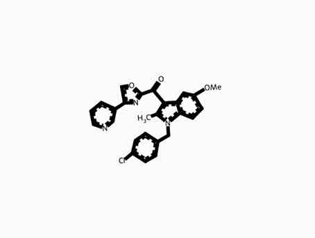 COc1ccc2c(c1)c(C(=O)c1nc(-c3cccnc3)co1)c(C)n2Cc1ccc(Cl)cc1